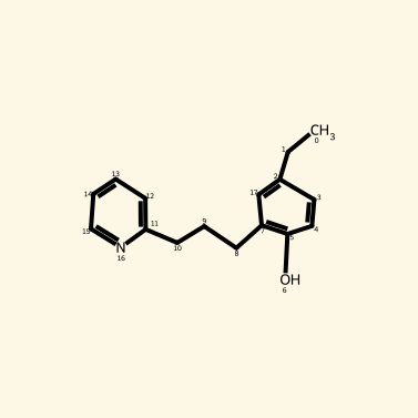 CCc1ccc(O)c(CCCc2ccccn2)c1